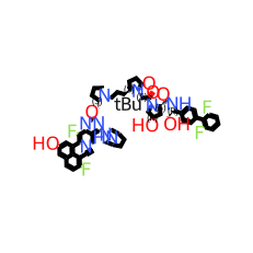 C#Cc1c(F)ccc2cc(O)cc(-c3ncc4c(N5CC6CCC(C5)N6)nc(OC[C@@H]5CCCN5CCC[C@H]5CCC(=O)N5[C@H](C(=O)N5C[C@H](O)C[C@H]5C(=O)N[C@@H](CO)c5ccc(-c6c(F)cccc6F)cc5)C(C)(C)C)nc4c3F)c12